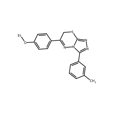 CCOc1ccc(C2=Nn3c(nnc3-c3cccc(C)c3)SC2)cc1